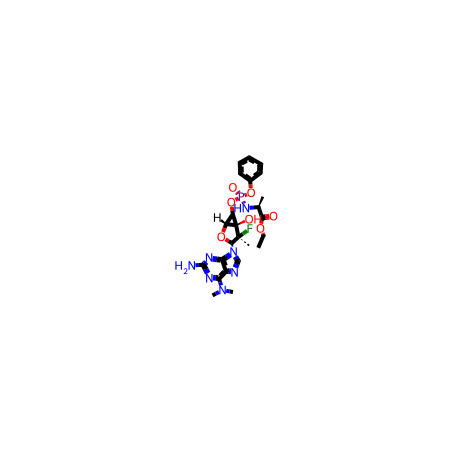 CCOC(=O)[C@H](C)NP(=O)(Oc1ccccc1)OC1[C@H]2O[C@@H](n3cnc4c(N(C)C)nc(N)nc43)[C@](C)(F)[C@@]12O